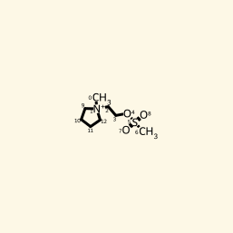 C[N+]1(CCOS(C)(=O)=O)CCCC1